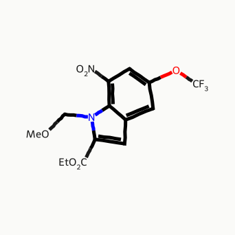 CCOC(=O)c1cc2cc(OC(F)(F)F)cc([N+](=O)[O-])c2n1COC